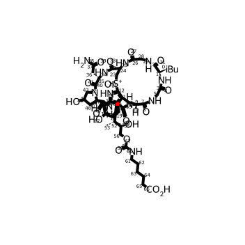 CC[C@H](C)[C@@H]1NC(=O)CNC(=O)[C@H]2Cc3c([nH]c4cc(O)ccc34)[S@+]([O-])CC(NC(=O)CNC1=O)C(=O)N[C@@H](CC(N)=O)C(=O)N1CC(O)C[C@H]1C(=O)N[C@@H]([C@@H](C)[C@@H](O)COC(=O)NCCCCCC(=O)O)C(=O)N2